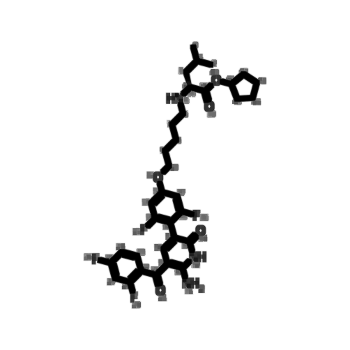 CC(C)C[C@H](NCCCCCOc1cc(F)c(-c2cc(C(=O)c3ccc(F)cc3F)c(N)[nH]c2=O)c(F)c1)C(=O)OC1CCCC1